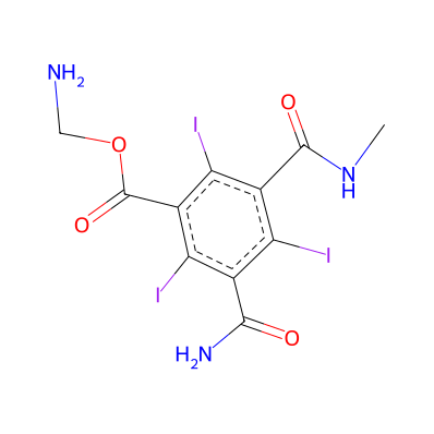 CNC(=O)c1c(I)c(C(N)=O)c(I)c(C(=O)OCN)c1I